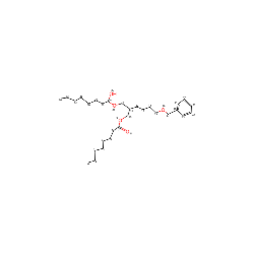 CCCCCCCC(=O)OCC(CCCCOCc1ccccc1)COC(O)CCCCCCC